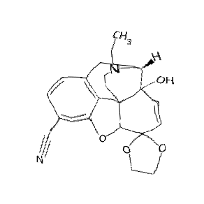 CN1CCC23c4c5ccc(C#N)c4OC2C2(C=CC3(O)[C@H]1C5)OCCO2